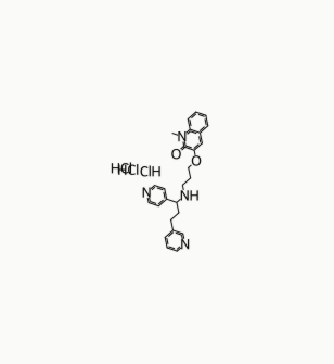 Cl.Cl.Cl.Cn1c(=O)c(OCCCNC(CCc2cccnc2)c2ccncc2)cc2ccccc21